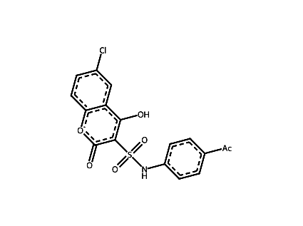 CC(=O)c1ccc(NS(=O)(=O)c2c(O)c3cc(Cl)ccc3oc2=O)cc1